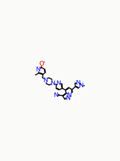 COc1ccc(CN2CCN(c3ccc(-c4cc(-c5cnn(C)c5)cn5ncc(C#N)c45)cn3)CC2)c(C)n1